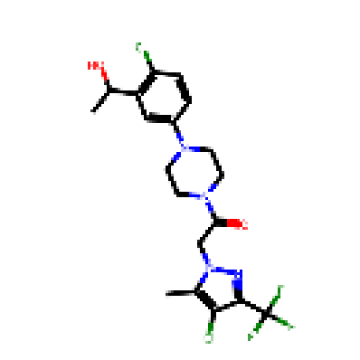 Cc1c(Cl)c(C(F)(F)F)nn1CC(=O)N1CCN(c2ccc(Cl)c(C(C)O)c2)CC1